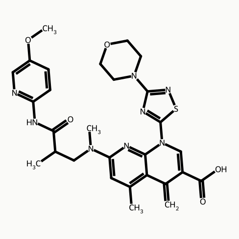 C=C1C(C(=O)O)=CN(c2nc(N3CCOCC3)ns2)c2nc(N(C)CC(C)C(=O)Nc3ccc(OC)cn3)cc(C)c21